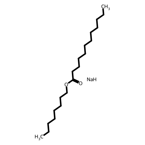 CCCCCCCCCCCC(=O)OCCCCCCCC.[NaH]